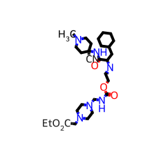 CCOC(=O)CN1CCN(CNC(=O)OCC=NC(CC2CCCCC2)C(=O)NC2(C#N)CCN(C)CC2)CC1